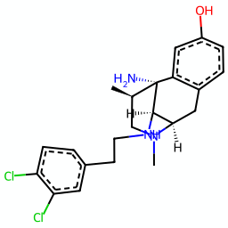 C[C@@H]1CN(C)[C@@H]2Cc3ccc(O)cc3[C@@]1(N)[C@@H]2NCCc1ccc(Cl)c(Cl)c1